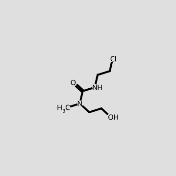 CN(CCO)C(=O)NCCCl